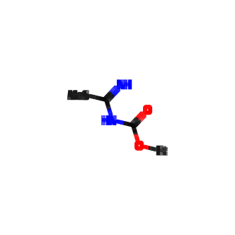 CCOC(=O)NC(=N)SC